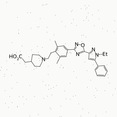 CCn1nc(-c2nc(-c3cc(C)c(CCN4CCC(CC(=O)O)CC4)c(C)c3)no2)cc1-c1ccccc1